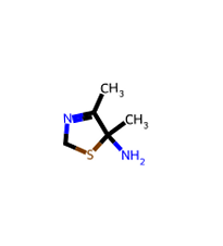 CC1=NCSC1(C)N